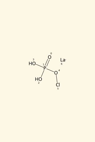 O=P(O)(O)OCl.[La]